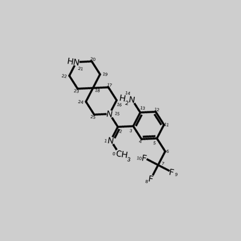 C/N=C(\c1cc(CC(F)(F)F)ccc1N)N1CCC2(CCNCC2)CC1